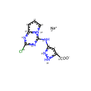 O=C([O-])c1cc(Nc2nc(Cl)nc3cccn23)n[nH]1.[Na+]